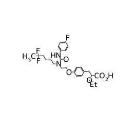 CCOC(Cc1ccc(OCCN(CCCCC(C)(F)F)C(=O)Nc2ccc(F)cc2)cc1)C(=O)O